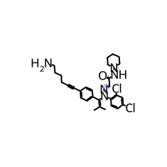 CC(C)=C(c1ccc(C#CCCCCN)cc1)N(/N=C/C(=O)NN1CCCCC1)c1ccc(Cl)cc1Cl